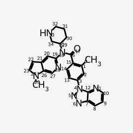 Cc1cc(-n2nnc3cccnc32)ccc1C(=O)N(c1cc2ccn(C)c2cn1)[C@@H]1CCCNC1